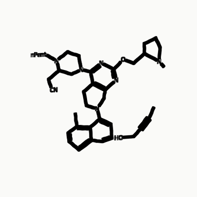 CC#CCO.CCCCCN1CCN(c2nc(OCC3CCCN3C)nc3c2CCN(c2cccc4cccc(C)c24)C3)CC1CC#N